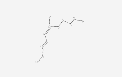 CC/C=C/C=C(/C)CCCCC